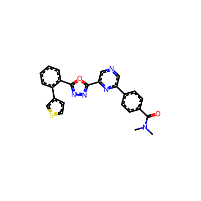 CN(C)C(=O)c1ccc(-c2cncc(-c3nnc(-c4ccccc4-c4ccsc4)o3)n2)cc1